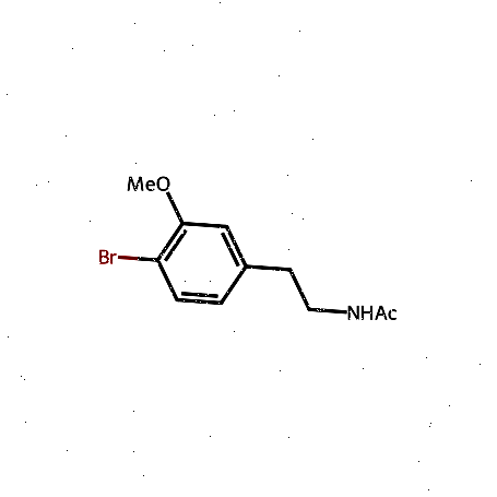 COc1cc(CCNC(C)=O)ccc1Br